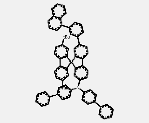 CC(C)(C)c1ccc2c(c1)C1(c3cc(-c4cccc(-c5cccc6ccccc56)c4)ccc3-c3ccc(N(c4ccc(-c5ccccc5)cc4)c4ccc(-c5ccccc5)cc4)cc31)c1cc(C(C)(C)C)ccc1-2